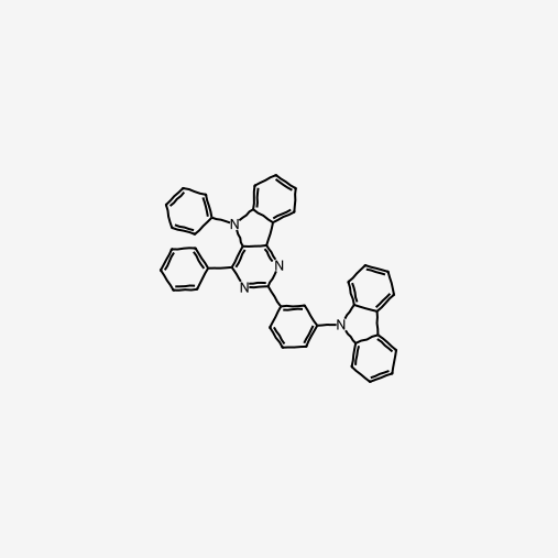 c1ccc(-c2nc(-c3cccc(-n4c5ccccc5c5ccccc54)c3)nc3c4ccccc4n(-c4ccccc4)c23)cc1